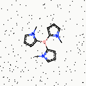 Cn1cccc1B(c1cccn1C)c1cccn1C